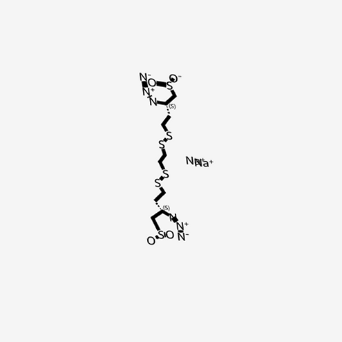 [N-]=[N+]=N[C@@H](CCSSCCSSCC[C@@H](CS(=O)[O-])N=[N+]=[N-])CS(=O)[O-].[Na+].[Na+]